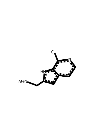 CNCc1cc2ccnc(Cl)c2[nH]1